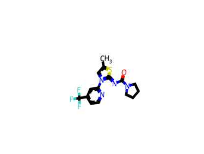 Cc1cn(-c2cc(C(F)(F)F)ccn2)c(=NC(=O)N2CCCC2)s1